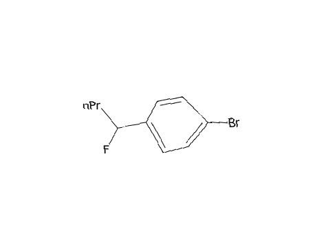 CCCC(F)c1ccc(Br)cc1